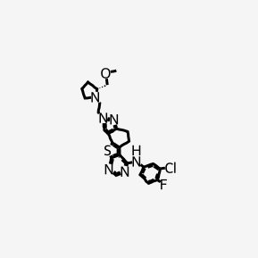 COC[C@H]1CCCN1CCn1cc2c(n1)CCc1c-2sc2ncnc(Nc3ccc(F)c(Cl)c3)c12